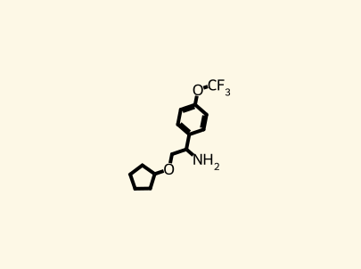 NC(COC1CCCC1)c1ccc(OC(F)(F)F)cc1